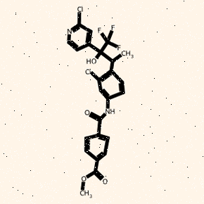 COC(=O)c1ccc(C(=O)Nc2ccc(C(C)C(O)(c3ccnc(Cl)c3)C(F)(F)F)c(Cl)c2)cc1